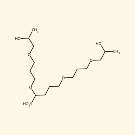 CC(O)COCCCOCCCC(OCCCOCC(C)O)S(=O)(=O)O